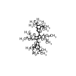 CCOC(CN1C(=O)C2=C(c3cc4cc(C(C)(C)C)cc(C(C)(C)C)c4o3)N(CC(OCC)OCC)C(=O)C2=C1c1cc2cc(C(C)(C)C)cc(C(C)(C)C)c2o1)OCC